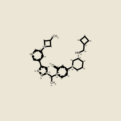 CC1CN(c2cncc(-c3cn(C(C)n4ccc(N5CCC[C@@H](NCC6CCC6)C5)cc4=O)nn3)c2)C1